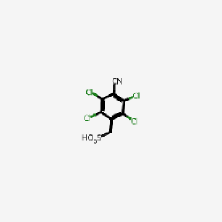 N#Cc1c(Cl)c(Cl)c(CS(=O)(=O)O)c(Cl)c1Cl